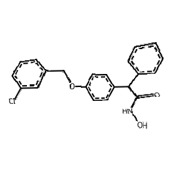 O=C(NO)C(c1ccccc1)c1ccc(OCc2cccc(Cl)c2)cc1